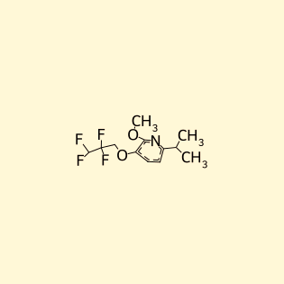 COc1nc(C(C)C)ccc1OCC(F)(F)C(F)F